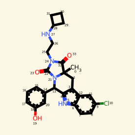 CC12Cc3c([nH]c4ccc(Cl)cc34)C(c3cccc(O)c3)N1C(=O)N(CCNC1CCC1)C2=O